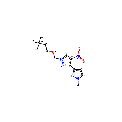 Cn1ccc(-c2nn(COCC[Si](C)(C)C)cc2[N+](=O)[O-])n1